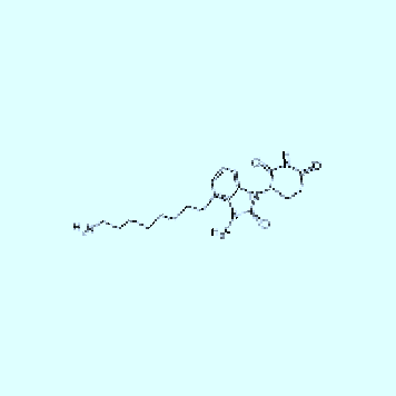 Cn1c(=O)n(C2CCC(=O)NC2=O)c2cccc(CCCCCCCCN)c21